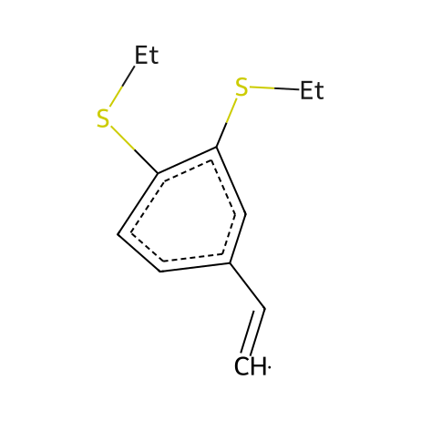 [CH]=Cc1ccc(SCC)c(SCC)c1